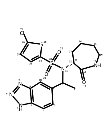 CC(c1ccc2[nH]nnc2c1)N([C@@H]1CCCCNC1=O)S(=O)(=O)c1ccc(Cl)s1